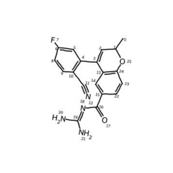 CC1C=C(c2cc(F)ccc2C#N)c2cc(C(=O)N=C(N)N)ccc2O1